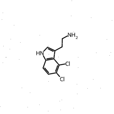 NCCc1c[nH]c2ccc(Cl)c(Cl)c12